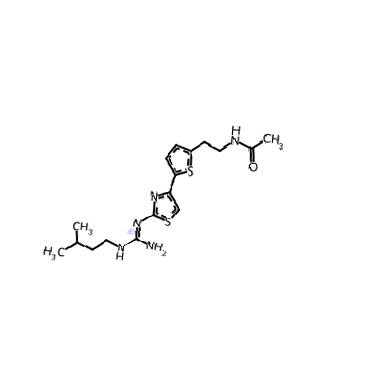 CC(=O)NCCc1ccc(-c2csc(/N=C(\N)NCCC(C)C)n2)s1